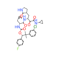 CC(C)CC(NC(=O)OC(c1ccc(F)cc1)C(C)(C)c1cccc(Cl)c1)C(=O)NC(CC1CCNC1=O)C(=O)C(=O)NC1CC1